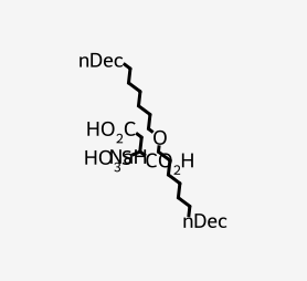 CCCCCCCCCCCCCCCCOCCCCCCCCCCCCCCCC.O=C(O)CC(C(=O)O)S(=O)(=O)O.[NaH]